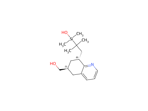 CC(C)(C[C@H]1C[C@H](CO)Cc2cccnc21)[Si](C)(C)O